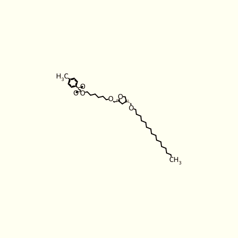 CCCCCCCCCCCCCCCCOC[C@H]1CO[C@H](COCCCCCCOS(=O)(=O)c2ccc(C)cc2)C1